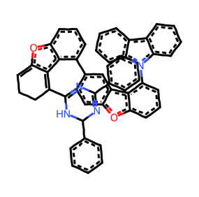 C1=c2oc3cccc(-c4ccc5oc6cccc(-n7c8ccccc8c8ccccc87)c6c5c4)c3c2=C(C2=NC(c3ccccc3)=NC(c3ccccc3)N2)CC1